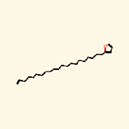 C=CCCCCCCCCCCCCCCCCCCCc1ccco1